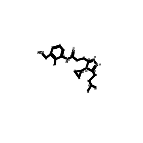 Cc1c(CO)cccc1NC(=O)CCc1nnc(CCC(C)C)n1C1CC1